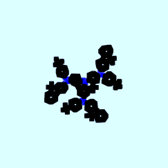 CC(C)(C)c1ccc(N(c2ccc3c(c2)C(C)(C)c2ccccc2-3)c2ccc3c(c2)C(C)(C)c2cc(N(c4ccc(C(C)(C)C)cc4)c4ccc5c(c4)C(C)(C)c4ccccc4-5)cc4c5cc(N(c6ccc(C(C)(C)C)cc6)c6ccc7c(c6)C(C)(C)c6ccccc6-7)ccc5n-3c24)cc1